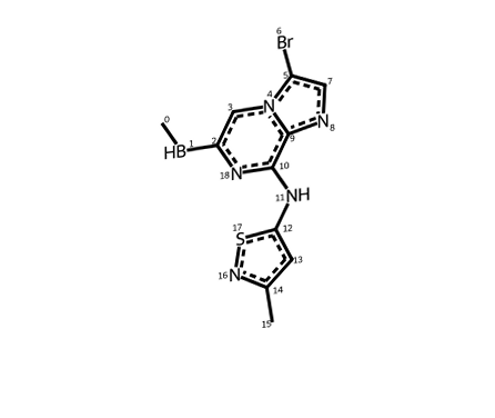 CBc1cn2c(Br)cnc2c(Nc2cc(C)ns2)n1